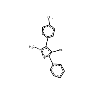 Cc1ccc(-c2c(O)c(-c3ccccc3)nn2C)cc1